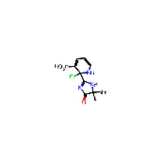 CC(C)C1(C)NC(C2(Cl)NC=CC=C2C(=O)O)=NC1=O